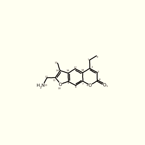 CCc1cc(=O)oc2cc3oc(CN)c(C)c3cc12